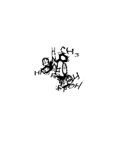 CC1CCCC(C2=NC3(CCNCC3)C(=O)N2)C1.O=C(O)C(F)(F)F.O=C(O)C(F)(F)F